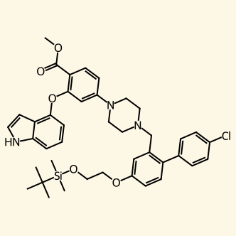 COC(=O)c1ccc(N2CCN(Cc3cc(OCCO[Si](C)(C)C(C)(C)C)ccc3-c3ccc(Cl)cc3)CC2)cc1Oc1cccc2[nH]ccc12